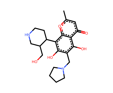 Cc1cc(=O)c2c(O)c(CN3CCCC3)c(O)c(C3CCNCC3CO)c2o1